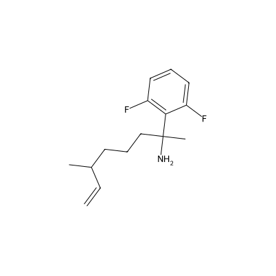 C=CC(C)CCCC(C)(N)c1c(F)cccc1F